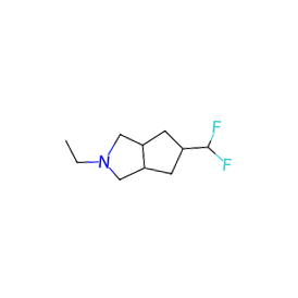 CCN1CC2CC(C(F)F)CC2C1